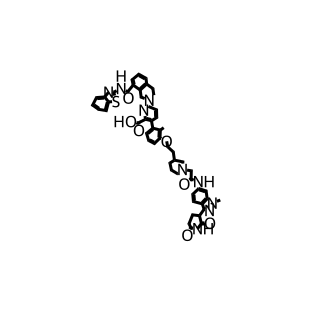 Cc1c(OCCC2CCCN(CC(=O)Nc3ccc4c(C5CCC(=O)NC5=O)nn(C)c4c3)C2)cccc1-c1ccc(N2CCc3cccc(C(=O)Nc4nc5ccccc5s4)c3C2)nc1C(=O)O